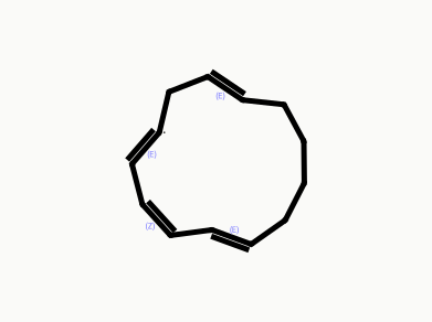 [C]1=C/C=C\C=C\CCCC/C=C/C/1